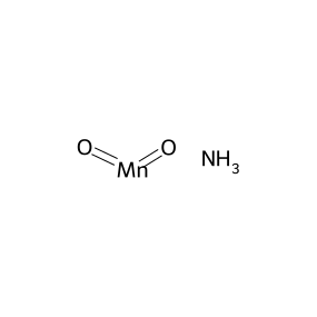 N.[O]=[Mn]=[O]